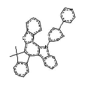 CC1(C)c2ccccc2-c2c1c1oc3ccccc3c1c1c2c2ccccc2n1-c1ccc(-c2ccccc2)cc1